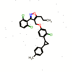 CCCc1onc(-c2c(Cl)cccc2Cl)c1COc1ccc(C2CC2c2ccc(C)cc2)c(Cl)c1